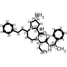 CC(C)C[C@H](C(=O)N[C@H](C)c1ccccc1)N1CCC(CCc2ccccc2)N2C[C@H](N)C[C@H]2C1=O